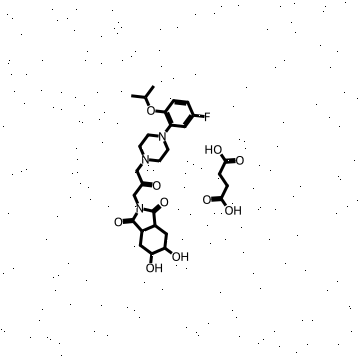 CC(C)Oc1ccc(F)cc1N1CCN(CC(=O)CN2C(=O)C3CC(O)C(O)CC3C2=O)CC1.O=C(O)CCC(=O)O